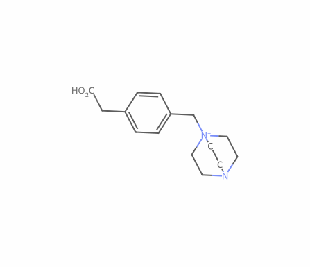 O=C(O)Cc1ccc(C[N+]23CCN(CC2)CC3)cc1